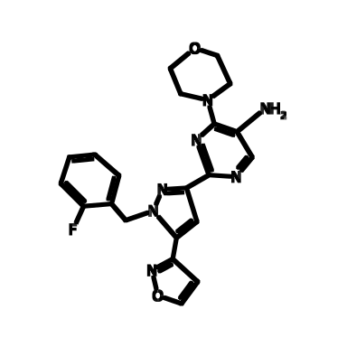 Nc1cnc(-c2cc(-c3ccon3)n(Cc3ccccc3F)n2)nc1N1CCOCC1